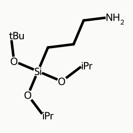 CC(C)O[Si](CCCN)(OC(C)C)OC(C)(C)C